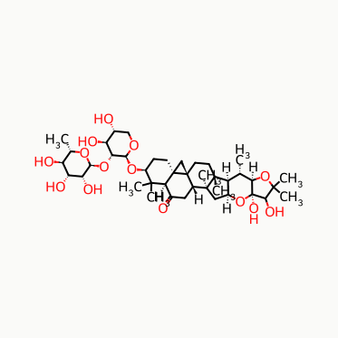 C[C@H]1[C@H]2[C@H](C[C@@]3(C)[C@@H]4CC(=O)[C@H]5C(C)(C)[C@@H](O[C@@H]6OC[C@@H](O)[C@H](O)[C@H]6O[C@@H]6O[C@@H](C)[C@H](O)[C@@H](O)[C@H]6O)CC[C@@]56C[C@@]46CC[C@]23C)O[C@]2(O)C(O)C(C)(C)O[C@H]12